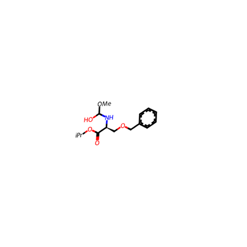 COC(O)N[C@@H](COCc1ccccc1)C(=O)OC(C)C